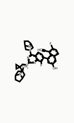 C#Cc1c(F)ccc2cc(O)cc(-c3ccc4c(N5CC6CCC(C5)N6)nc(OCC5(CN6C7CCC6CC(C)C7)CC5)nc4c3F)c12